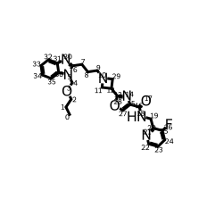 CCCOCn1c(CCCN2CC(c3nc(C(=O)NCc4ncccc4F)co3)C2)nc2ccccc21